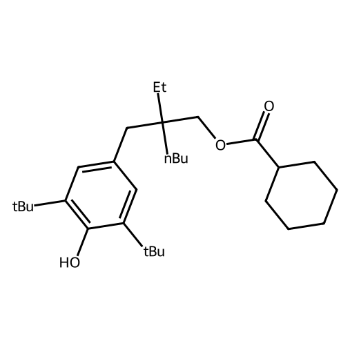 CCCCC(CC)(COC(=O)C1CCCCC1)Cc1cc(C(C)(C)C)c(O)c(C(C)(C)C)c1